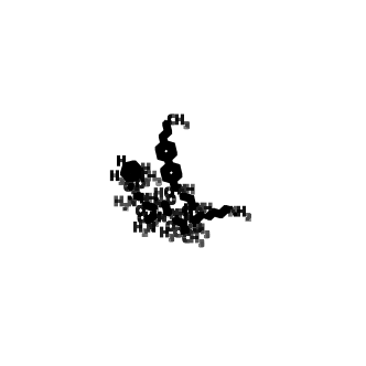 CCCCc1ccc(-c2ccc(C(=O)NCCC(=O)N[C@@H](CCCCN)C(=O)N[C@H](C(=O)N[C@@H](N)C(=O)N[C@@H](CC(N)=O)C(=O)N[C@@H](N)B3OC4C[C@@H]5C[C@@H](C5(C)C)[C@]4(C)O3)C(C)(C)C)cc2)cc1